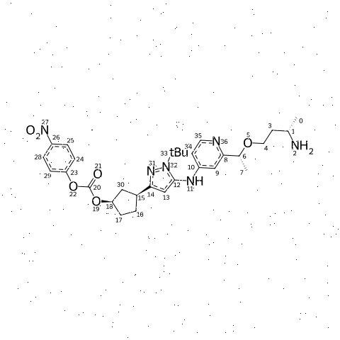 C[C@H](N)CCO[C@H](C)c1cc(Nc2cc([C@H]3CC[C@@H](OC(=O)Oc4ccc([N+](=O)[O-])cc4)C3)nn2C(C)(C)C)ccn1